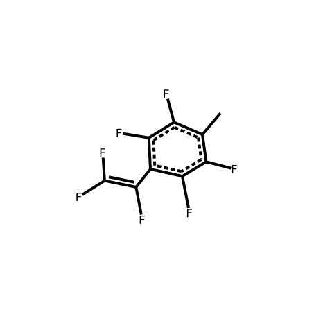 Cc1c(F)c(F)c(C(F)=C(F)F)c(F)c1F